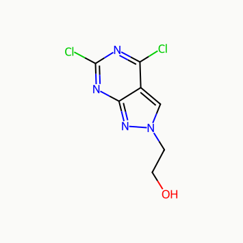 OCCn1cc2c(Cl)nc(Cl)nc2n1